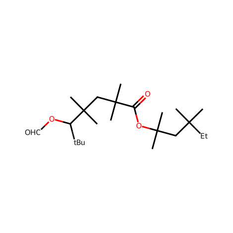 CCC(C)(C)CC(C)(C)OC(=O)C(C)(C)CC(C)(C)C(OC=O)C(C)(C)C